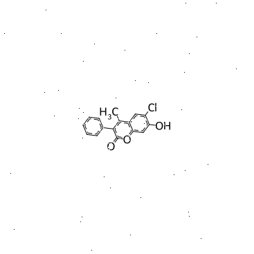 Cc1c(-c2ccccc2)c(=O)oc2cc(O)c(Cl)cc12